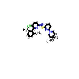 CCC1(C=O)CCN(c2cccc(SNc3ccc(Cl)c(-c4c(C)cccc4C)n3)n2)CC1